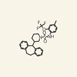 Cc1ccc(NS(=O)(=O)N2CCCC(C3c4ccccc4CCc4ccccc43)C2)c(OC(F)(F)F)c1